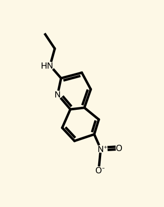 CCNc1ccc2cc([N+](=O)[O-])ccc2n1